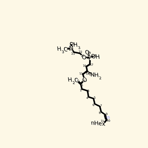 C=C(CCCCCCC/C=C\CCCCCC)OC[C@H](N)CCP(=O)(O)OCCN(C)C